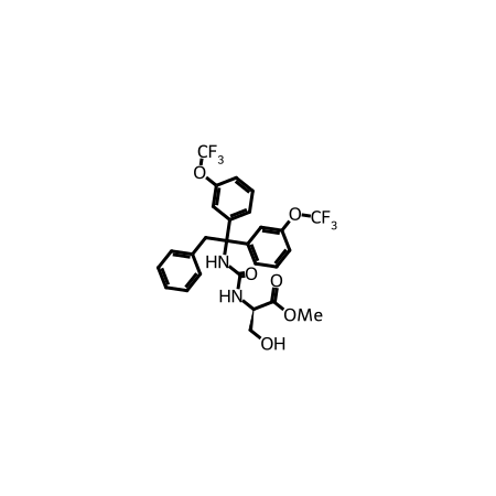 COC(=O)[C@@H](CO)NC(=O)NC(Cc1ccccc1)(c1cccc(OC(F)(F)F)c1)c1cccc(OC(F)(F)F)c1